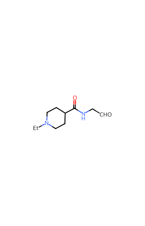 CCN1CCC(C(=O)NCC=O)CC1